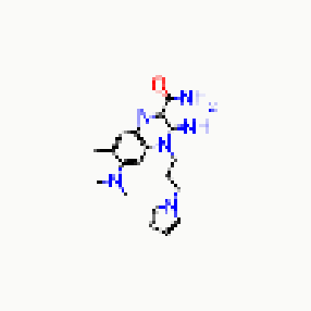 Cc1cc2nc(C(N)=O)c(=N)n(CCCn3cccc3)c2cc1N(C)C